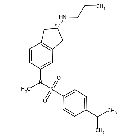 CCCN[C@H]1Cc2ccc(N(C)S(=O)(=O)c3ccc(C(C)C)cc3)cc2C1